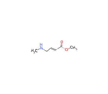 CNC/C=C/C(=O)OC